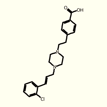 O=C(O)c1ccc(CCN2CCN(CC=Cc3ccccc3Cl)CC2)cc1